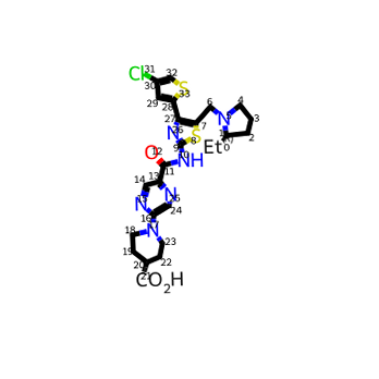 CC[C@@H]1CCCN1Cc1sc(NC(=O)c2cnc(N3CCC(C(=O)O)CC3)cn2)nc1-c1cc(Cl)cs1